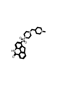 CN1CCC(CN2CCN(S(=O)(=O)c3ccc4[nH]c(=O)c5cccc6c5c4c3C6)CC2)CC1